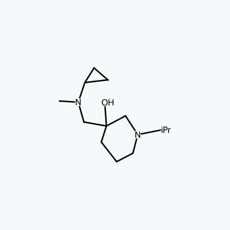 CC(C)N1CCCC(O)(CN(C)C2CC2)C1